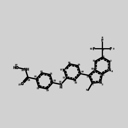 Cc1nc2ncc(C(F)(F)F)cn2c1-c1ccnc(Nc2ccc(C(=O)NO)cc2)n1